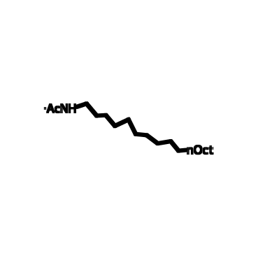 CCCCCCCCCCCCCCCCCC[N]C(C)=O